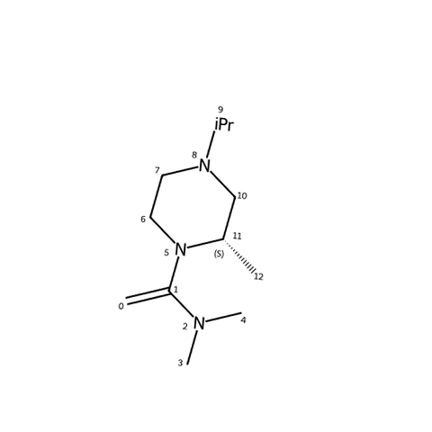 C=C(N(C)C)N1CCN(C(C)C)C[C@@H]1C